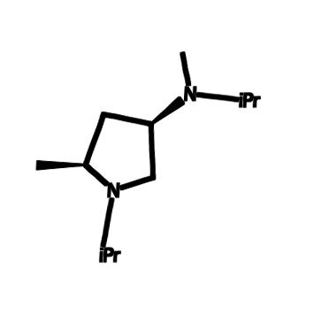 CC(C)N(C)[C@@H]1C[C@H](C)N(C(C)C)C1